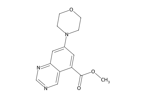 COC(=O)c1cc(N2CCOCC2)cc2ncncc12